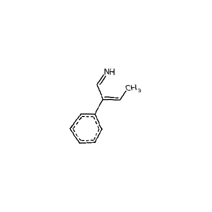 CC=C(C=N)c1ccccc1